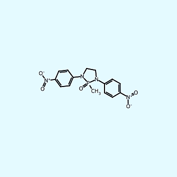 CP1(=O)N(c2ccc([N+](=O)[O-])cc2)CCN1c1ccc([N+](=O)[O-])cc1